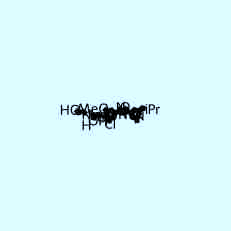 COc1cc(-c2noc(-c3cc(C)nc(CC(C)C)c3)n2)cc(Cl)c1OCC(O)CNCCO